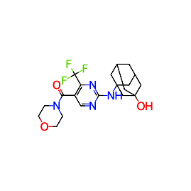 O=C(c1cnc(NC23CC4CC(CC(O)(C4)C2)C3)nc1C(F)(F)F)N1CCOCC1